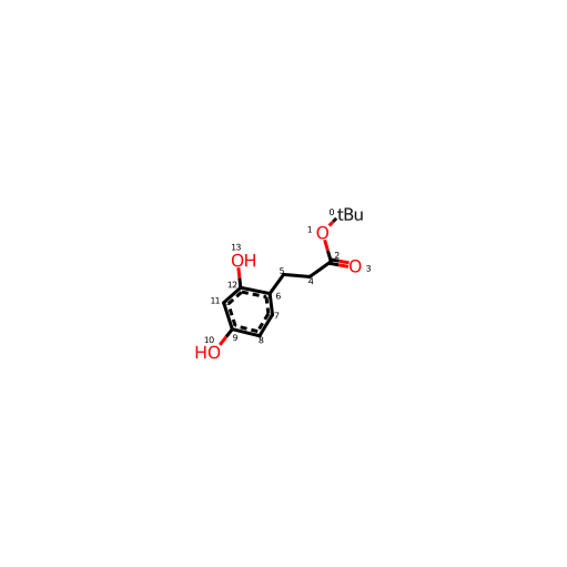 CC(C)(C)OC(=O)CCc1ccc(O)cc1O